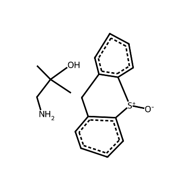 CC(C)(O)CN.[O-][S+]1c2ccccc2Cc2ccccc21